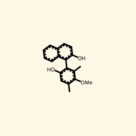 COc1c(C)cc(O)c(-c2c(O)ccc3ccccc23)c1C